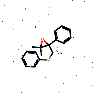 C[C@H](Sc1ccccc1)C1(c2ccccc2)OC1(C)C